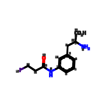 N[C@@H](Cc1cccc(NC(=O)CCI)c1)C(=O)O